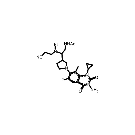 CCN(CCC#N)C(CNC(C)=O)C1CCN(c2c(F)cc3c(=O)n(N)c(=O)n(C4CC4)c3c2C)C1